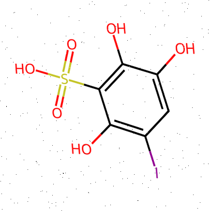 O=S(=O)(O)c1c(O)c(O)cc(I)c1O